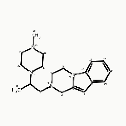 CC(CN1CCn2c(cc3ccccc32)C1)N1CCN(C)CC1